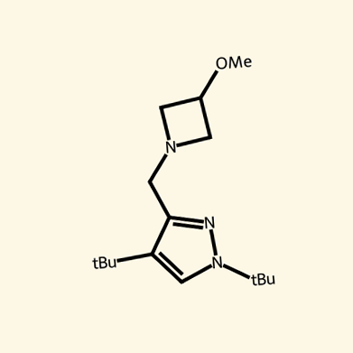 COC1CN(Cc2nn(C(C)(C)C)cc2C(C)(C)C)C1